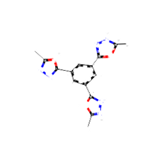 Cc1nnc(-c2cc(-c3nnc(C)o3)cc(-c3nnc(C)o3)c2)o1